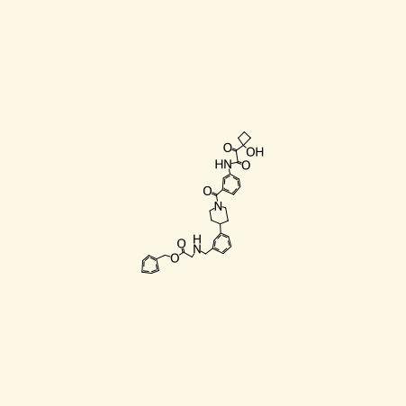 O=C(CNCc1cccc(C2CCN(C(=O)c3cccc(NC(=O)C(=O)C4(O)CCC4)c3)CC2)c1)OCc1ccccc1